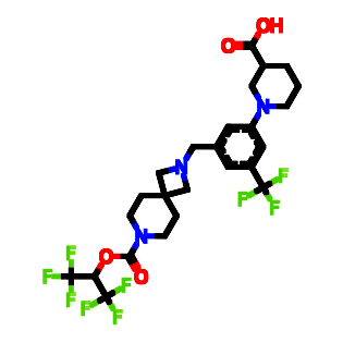 O=C(O)C1CCCN(c2cc(CN3CC4(CCN(C(=O)OC(C(F)(F)F)C(F)(F)F)CC4)C3)cc(C(F)(F)F)c2)C1